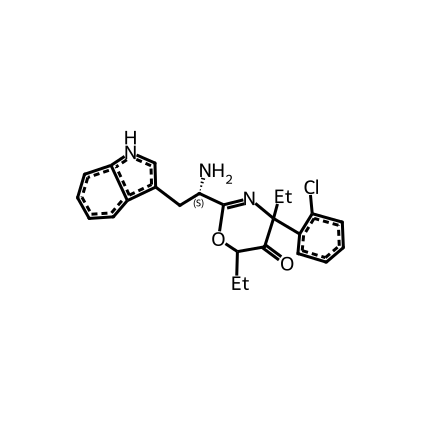 CCC1OC([C@@H](N)Cc2c[nH]c3ccccc23)=NC(CC)(c2ccccc2Cl)C1=O